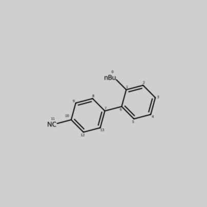 CCCCc1ccccc1-c1ccc(C#N)cc1